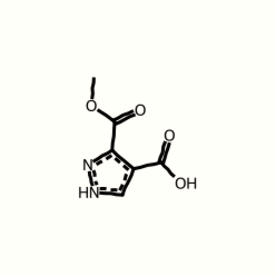 COC(=O)c1n[nH]cc1C(=O)O